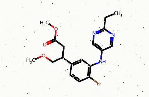 CCc1ncc(Nc2cc(C(COC)CC(=O)OC)ccc2Br)cn1